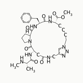 CN[C@@H](C)C(=O)N[C@H]1CC(=O)NCc2cn(nn2)CCCC[C@@H](C(=O)OC)NC(=O)[C@H](Cc2ccccc2)NC(=O)[C@@H]2CCCN2C1=O